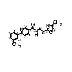 Cc1cccc(-c2ccc(C(=O)NCCc3nc(C)no3)cn2)c1